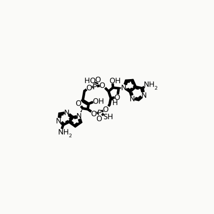 Nc1ncnc2c1ccn2[C@@H]1OC2=C(O)C1OP(=O)(S)OC[C@H]1O[C@@H](n3ccc4c(N)ncnc43)C(O)C1OP(=O)(O)OC2